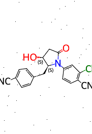 N#Cc1ccc(C[C@H]2[C@@H](O)CC(=O)N2c2ccc(C#N)c(Cl)c2)cc1